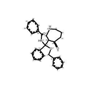 O=C(NC(OCc1ccccc1)(c1ccccc1)C1CNCCCC1=O)c1ccccc1